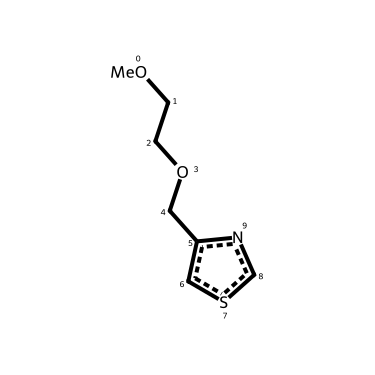 COCCOCc1cscn1